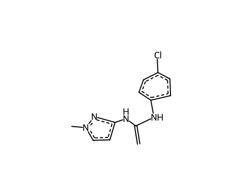 C=C(Nc1ccc(Cl)cc1)Nc1ccn(C)n1